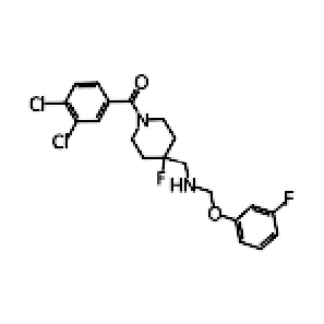 O=C(c1ccc(Cl)c(Cl)c1)N1CCC(F)(CNCOc2cccc(F)c2)CC1